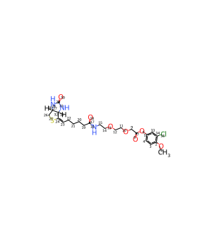 COc1ccc(OC(=O)COCCOCCNC(=O)CCCC/C=C2/SC[C@@H]3NC(=O)N[C@H]23)cc1Cl